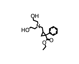 CCOC(=O)C1(c2ccccc2)CC1CN(CCO)CCO